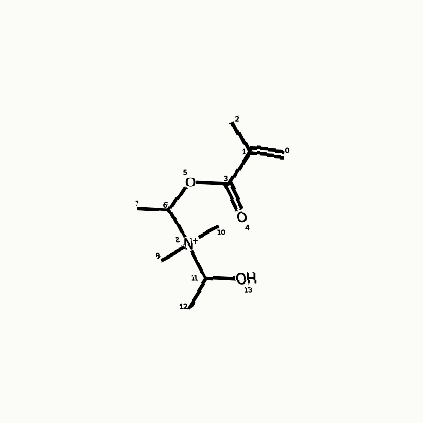 C=C(C)C(=O)OC(C)[N+](C)(C)C(C)O